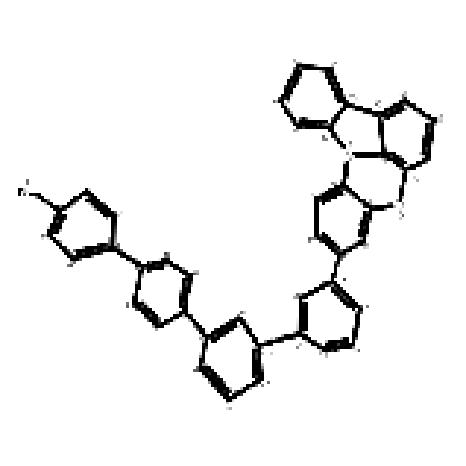 N#Cc1ccc(-c2ccc(-c3cccc(-c4cccc(-c5ccc6c(c5)Oc5cccc7c8ccccc8n-6c57)c4)c3)cc2)cc1